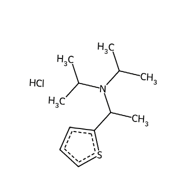 CC(C)N(C(C)C)C(C)c1cccs1.Cl